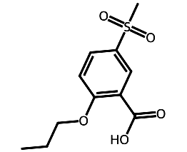 CCCOc1ccc(S(C)(=O)=O)cc1C(=O)O